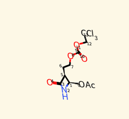 CC(=O)O[C@H]1NC(=O)[C@H]1CCOC(=O)OCC(Cl)(Cl)Cl